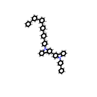 c1ccc(-c2ccc(-n3c4ccccc4c4cc(-c5ccc6c(c5)c5ccccc5n6-c5ccc(-c6ccc(-c7ccc(-c8cccc(-c9cccc(-c%10ccccc%10)c9)c8)cc7)cc6)cc5)ccc43)cc2)cc1